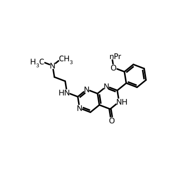 CCCOc1ccccc1-c1nc2nc(NCCN(C)C)ncc2c(=O)[nH]1